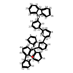 c1ccc([Si](c2ccccc2)(c2cccc(-c3cccc(-c4cccc(-n5c6ccccc6c6ccccc65)c4)n3)c2)c2cccc3c2sc2ccccc23)cc1